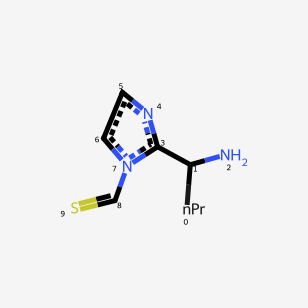 [CH2]CCC(N)c1nccn1C=S